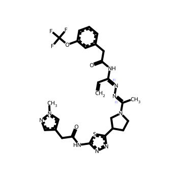 C=C/C(=N\N=C(/C)N1CCC(c2nnc(NC(=O)Cc3cnn(C)c3)s2)C1)NC(=O)Cc1cccc(OC(F)(F)F)c1